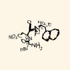 CCCC[C@H](N)C(=O)N[C@@H](CC(=O)O)C(=O)N[C@@H](Cc1cccc2ccccc12)C(=O)O